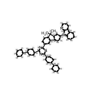 CC1(C)c2ccc(-c3nc(-c4ccc(-c5ccccc5)cc4)nc(-c4ccc(-c5ccccc5)cc4)n3)cc2-c2ccc(-n3c4ccccc4c4cccnc43)cc21